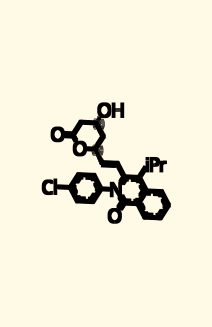 CC(C)c1c(C=C[C@@H]2C[C@@H](O)CC(=O)O2)n(-c2ccc(Cl)cc2)c(=O)c2ccccc12